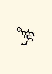 C=C/C=C\CO/C(=C/C1=C(C)C(/C=C\C=C)C(C)C2=CC(N3CCCCC3)CC[C@@H]21)[C@@H](C)C(=C)C